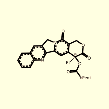 CCCCCC(=O)O[C@]1(CC)C(=O)OCc2c1cc1n(c2=O)Cc2cc3ccccc3nc2-1